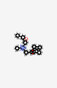 c1ccc(-c2ccc3oc4ccc(-c5nc(-c6ccccc6)nc(-c6cccc(-c7cccc(-c8cccc9c8C8(c%10ccccc%10-c%10ccccc%108)c8ccccc8-9)c7)c6)n5)cc4c3c2)cc1